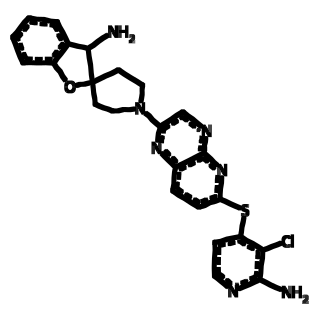 Nc1nccc(Sc2ccc3nc(N4CCC5(CC4)Oc4ccccc4C5N)cnc3n2)c1Cl